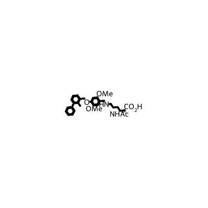 COc1cc(OCc2cccc(-c3ccccc3)c2C)cc(OC)c1CNCCCC[C@H](NC(C)=O)C(=O)O